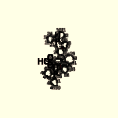 CC1(c2ccc(C[PH](c3ccccc3)(c3ccccc3)c3ccccc3)cc2)CCCCC(C)(c2ccc(C[PH](c3ccccc3)(c3ccccc3)c3ccccc3)cc2)C1(C)c1ccc(S(=O)(=O)O)cc1